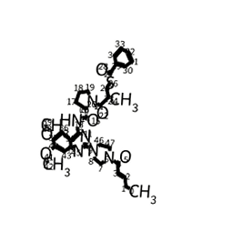 CCC=CC(=O)N1CCN(c2nc(NC(=O)[C@@H]3CCCN3C(=O)C(C)CSC(=O)c3ccccc3)c3cc(OC)c(OC)cc3n2)CC1